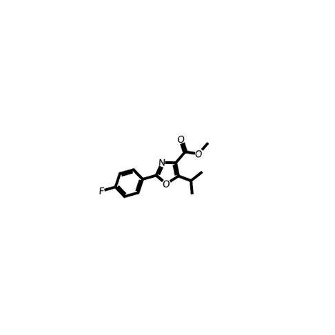 COC(=O)c1nc(-c2ccc(F)cc2)oc1C(C)C